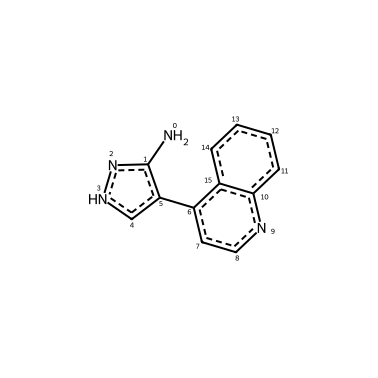 Nc1n[nH]cc1-c1ccnc2ccccc12